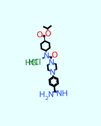 CC(C)OC(=O)[C@H]1CC[C@@H](N(C)C(=O)N2CCN(c3ccc(C(=N)N)cc3)CC2)CC1.Cl.Cl